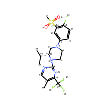 Cc1cnc(N2CCN(c3ccc(F)c(S(C)(=O)=O)c3)C[C@H]2C(C)C)nc1C(F)(F)F